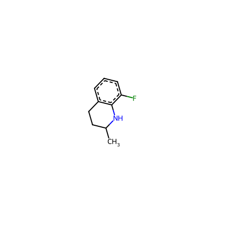 CC1CCc2cccc(F)c2N1